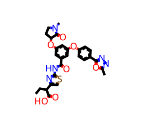 CCC(C(=O)O)c1csc(NC(=O)c2cc(Oc3ccc(-c4nnc(C)o4)cc3)cc(OC3CCN(C)C3=O)c2)n1